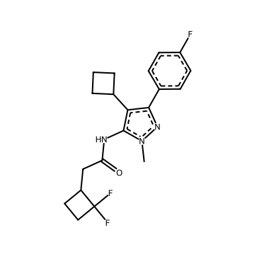 Cn1nc(-c2ccc(F)cc2)c(C2CCC2)c1NC(=O)CC1CCC1(F)F